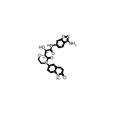 Nc1noc2cc(NC(=O)[C@H](O)[C@H]3OCCN(c4ccc5[nH]c(=O)ccc5c4)C3=O)ccc12